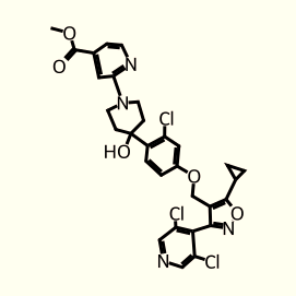 COC(=O)c1ccnc(N2CCC(O)(c3ccc(OCc4c(-c5c(Cl)cncc5Cl)noc4C4CC4)cc3Cl)CC2)c1